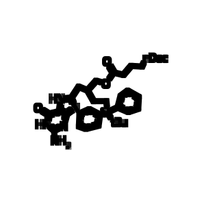 CCCCCCCCCCCCCC(=O)OCC(CC[Si](c1ccccc1)(c1ccccc1)C(C)(C)C)Cc1nc2nc(N)[nH]c(=O)c2[nH]1